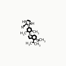 COc1ccc2c(ccn2-c2c(C)cc(N3NC=CNC3C#N)cc2C)c1C(C)C